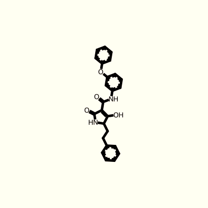 O=C(Nc1cccc(Oc2ccccc2)c1)C1=C(O)C(CCc2ccccc2)NC1=O